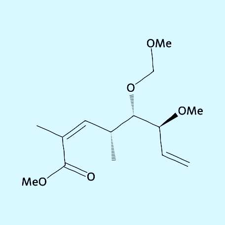 C=C[C@H](OC)[C@@H](OCOC)[C@H](C)/C=C(/C)C(=O)OC